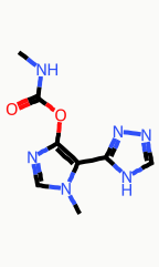 CNC(=O)Oc1ncn(C)c1-c1nnc[nH]1